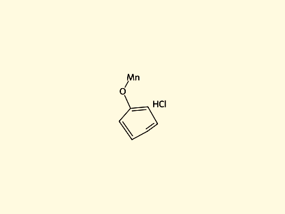 Cl.[Mn][O]c1ccccc1